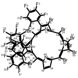 Fc1c(F)c(F)c(C2=C(Br)c3nc2c(Br)c2c(-c4c(F)c(F)c(F)c(F)c4F)c(-c4c(F)c(F)c(F)c(F)c4F)c(c(Br)c4nc(c(Br)c5c(Br)c(Br)c(c3Br)n5Br)C=C4)n2-c2c(F)c(F)c(F)c(F)c2F)c(F)c1F